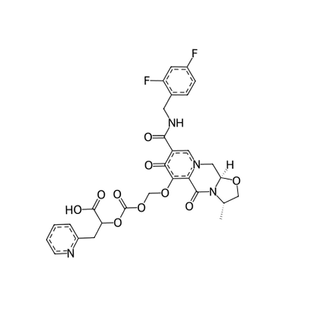 C[C@H]1CO[C@@H]2Cn3cc(C(=O)NCc4ccc(F)cc4F)c(=O)c(OCOC(=O)OC(Cc4ccccn4)C(=O)O)c3C(=O)N12